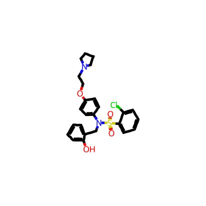 O=S(=O)(c1ccccc1Cl)N(Cc1ccccc1O)c1ccc(OCCN2CCCC2)cc1